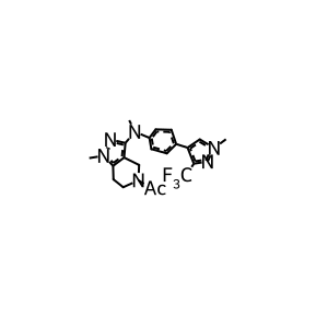 CC(=O)N1CCc2c(c(N(C)c3ccc(-c4cn(C)nc4C(F)(F)F)cc3)nn2C)C1